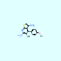 CCOc1ccc(-c2c(C#N)c(N)nc3scc(N)c23)cc1